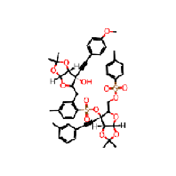 COc1ccc(C#C[C@@]2(O)C(Cc3cc(C)ccc3S(=O)(=O)O[C@]3(C#Cc4cccc(C)c4)C(COS(=O)(=O)c4ccc(C)cc4)O[C@@H]4OC(C)(C)O[C@@H]43)O[C@@H]3OC(C)(C)O[C@@H]32)cc1